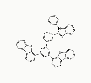 c1ccc(-n2c(-c3cccc(-c4cc(-c5cccc6c5sc5ccccc56)cc(-c5cccc6c5sc5ccccc56)c4)c3)nc3ccccc32)cc1